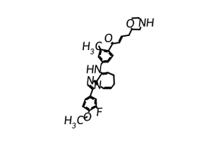 COc1ccc(-c2cnc3n2/C=C\CC/C=C\3Nc2ccc(C(=O)/C=C/CC3CNCCO3)c(C)c2)cc1F